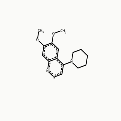 COc1cc2nncc(N3CCCCC3)c2cc1OC